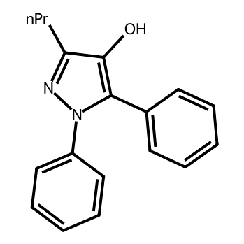 CCCc1nn(-c2ccccc2)c(-c2ccccc2)c1O